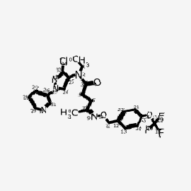 CCN(C(=O)CCC(C)=NOCc1ccc(OC(F)(F)F)cc1)c1cn(-c2cccnc2)nc1Cl